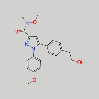 COc1ccc(-n2nc(C(=O)N(C)OC)cc2-c2ccc(CCO)cc2)cc1